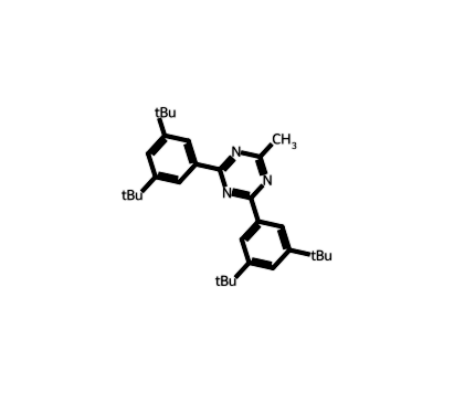 Cc1nc(-c2cc(C(C)(C)C)cc(C(C)(C)C)c2)nc(-c2cc(C(C)(C)C)cc(C(C)(C)C)c2)n1